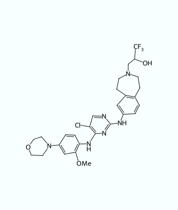 COc1cc(N2CCOCC2)ccc1Nc1nc(Nc2ccc3c(c2)CCN(CC(O)C(F)(F)F)CC3)ncc1Cl